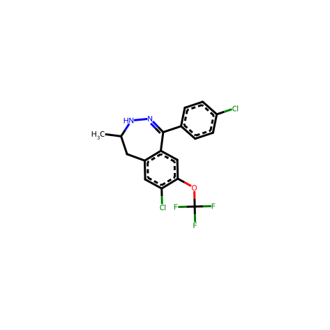 CC1Cc2cc(Cl)c(OC(F)(F)F)cc2C(c2ccc(Cl)cc2)=NN1